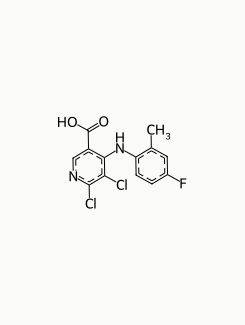 Cc1cc(F)ccc1Nc1c(C(=O)O)cnc(Cl)c1Cl